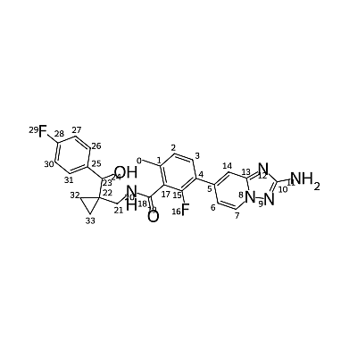 Cc1ccc(-c2ccn3nc(N)nc3c2)c(F)c1C(=O)NCC1(C(O)c2ccc(F)cc2)CC1